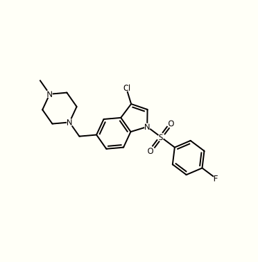 CN1CCN(Cc2ccc3c(c2)c(Cl)cn3S(=O)(=O)c2ccc(F)cc2)CC1